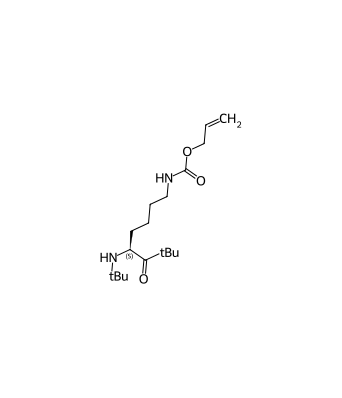 C=CCOC(=O)NCCCC[C@H](NC(C)(C)C)C(=O)C(C)(C)C